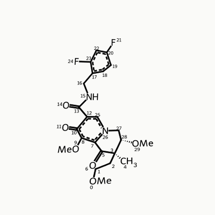 COCC[C@@]1(C)C(=O)c2c(OC)c(=O)c(C(=O)NCc3ccc(F)cc3F)cn2C[C@@H]1OC